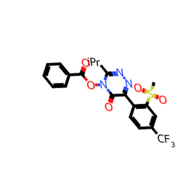 CC(C)c1nnc(-c2ccc(C(F)(F)F)cc2S(C)(=O)=O)c(=O)n1OC(=O)c1ccccc1